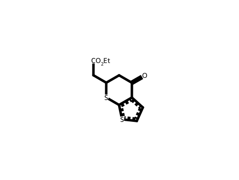 CCOC(=O)CC1CC(=O)c2ccsc2S1